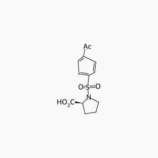 CC(=O)c1ccc(S(=O)(=O)N2CCC[C@H]2C(=O)O)cc1